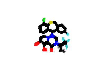 C[C@@H](N1CN([C@@H]2c3cc(F)ccc3CSc3c(Cl)cccc32)n2ccc(=O)c(O)c2C1=O)C(F)(F)F